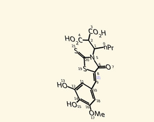 CCCC(C(C(=O)O)C(=O)O)N1C(=O)/C(=C/c2cc(O)c(O)c(OC)c2)SC1=S